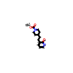 CC(C)(C)OC(=O)N1CCC(CCC2=CC=C[N]C2=O)CC1